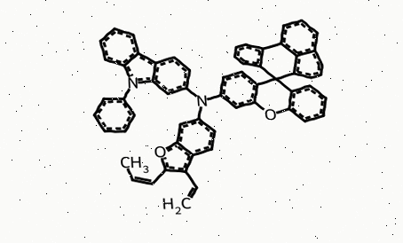 C=Cc1c(/C=C\C)oc2cc(N(c3ccc4c(c3)Oc3ccccc3C43c4ccccc4-c4cccc5cccc3c45)c3ccc4c5ccccc5n(-c5ccccc5)c4c3)ccc12